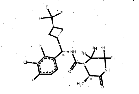 [2H]C1([2H])NC(=O)[C@@H](C)N(C(=O)N[C@H](c2ccc(F)c(Cl)c2F)[C@H]2C[C@H](C(F)(F)F)C2)C1([2H])[2H]